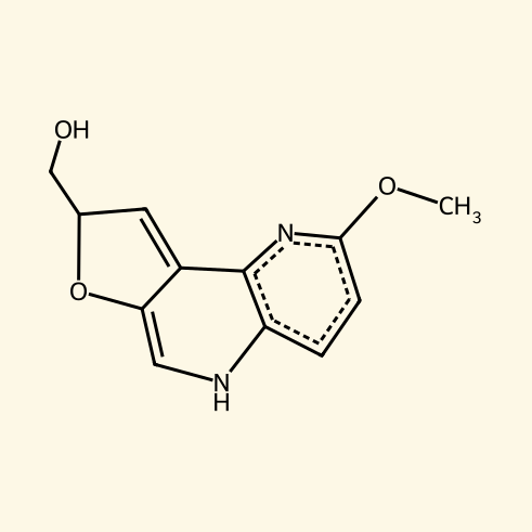 COc1ccc2c(n1)C1=CC(CO)OC1=CN2